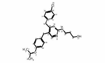 CC(C)Oc1ccc(Cc2cnc(NCCCO)nc2Cc2ccc(Cl)cc2)cc1